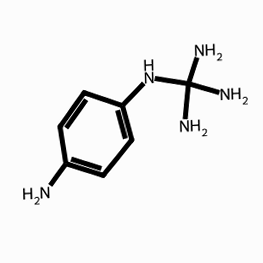 Nc1ccc(NC(N)(N)N)cc1